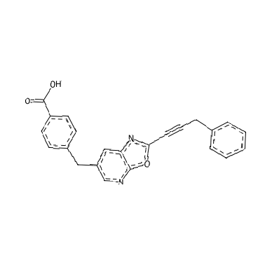 O=C(O)c1ccc(Cc2cnc3oc(C#CCc4ccccc4)nc3c2)cc1